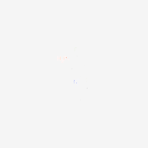 CC(C)c1csc(-c2ccc(F)c(P)c2)n1